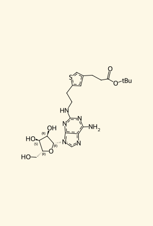 CC(C)(C)OC(=O)CCc1csc(CCNc2nc(N)c3ncn([C@@H]4O[C@H](CO)[C@@H](O)[C@H]4O)c3n2)c1